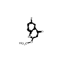 O=C(O)Oc1cc(=O)c2cc(F)ccc2o1